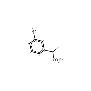 CCOC(=O)C(F)c1cccc(C(C)=O)c1